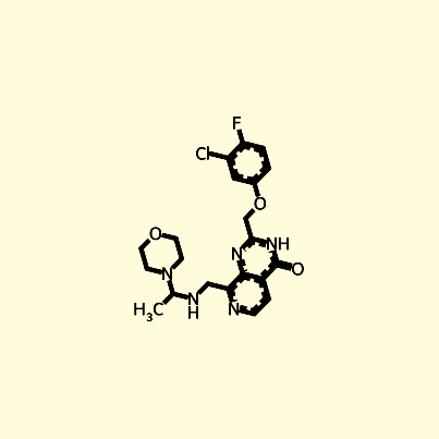 CC(NCc1nccc2c(=O)[nH]c(COc3ccc(F)c(Cl)c3)nc12)N1CCOCC1